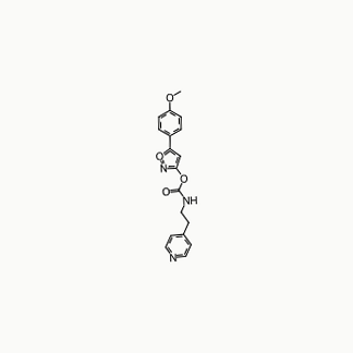 COc1ccc(-c2cc(OC(=O)NCCc3ccncc3)no2)cc1